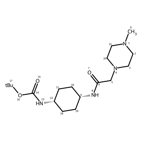 CN1CCN(CC(=O)N[C@H]2CC[C@@H](NC(=O)OC(C)(C)C)CC2)CC1